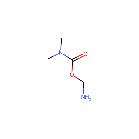 CN(C)C(=O)OCN